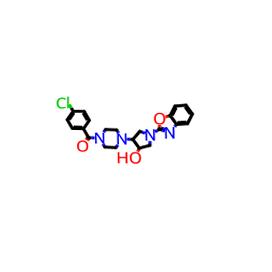 O=C(c1ccc(Cl)cc1)N1CCN(C2CN(c3nc4ccccc4o3)CC2O)CC1